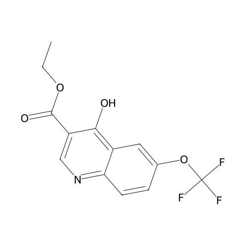 CCOC(=O)c1cnc2ccc(OC(F)(F)F)cc2c1O